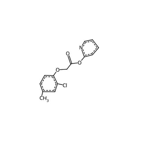 Cc1ccc(OCC(=O)Oc2ccccn2)c(Cl)c1